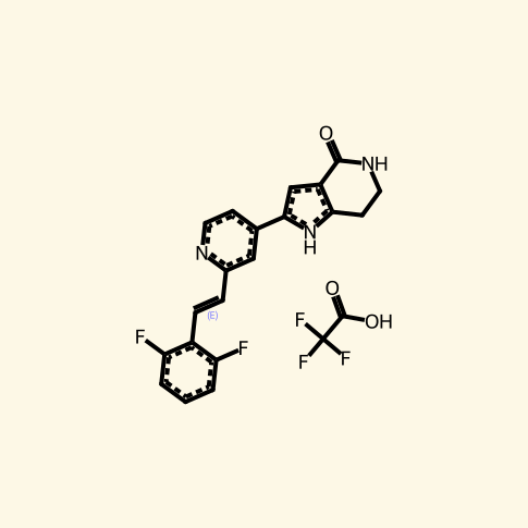 O=C(O)C(F)(F)F.O=C1NCCc2[nH]c(-c3ccnc(/C=C/c4c(F)cccc4F)c3)cc21